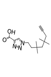 C#CCC(C)(C)CC(C)(C)CCn1cc(C(=O)O)nn1